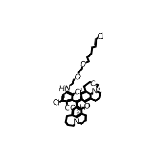 O=C(O)c1c(Cl)cc(NCCOCCOCCCCCCCl)c(Cl)c1C1=c2cc3c4c(c2Oc2c1cc1c5c2CCCN5CCCC1)CCC[N+]=4CCCC3